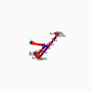 CC(=O)NC1C(OCCCCC(=O)NCCCCC(=O)NCCN(CCNC(=O)CCCCNC(=O)CCCCOC2OC(COC(C)=O)C(OC(C)=O)C(OC(C)=O)C2NC(C)=O)C(=O)CC[C@H](NC(=O)CCCCNC(=O)CCCCOC2OC(COC(C)=O)C(OC(C)=O)C(OC(C)=O)C2NC(C)=O)C(=O)NCCOCCOCCOCC(=O)Oc2c(F)c(F)cc(F)c2F)OC(COC(C)=O)C(OC(C)=O)C1OC(C)=O